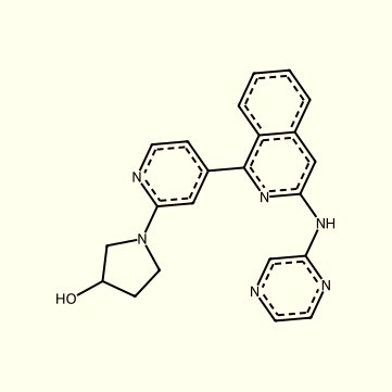 OC1CCN(c2cc(-c3nc(Nc4cnccn4)cc4ccccc34)ccn2)C1